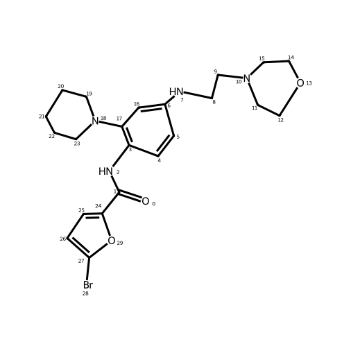 O=C(Nc1ccc(NCCN2CCOCC2)cc1N1CCCCC1)c1ccc(Br)o1